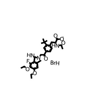 Br.CCOc1cc2c(c(F)c1OCC)C(=N)N(CC(=O)c1ccc(CC(NC(C)=O)C(=O)OC)c(C(C)(C)C)c1)C2